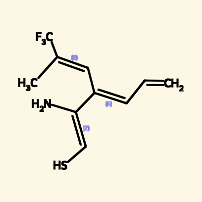 C=C/C=C(\C=C(/C)C(F)(F)F)C(/N)=C/S